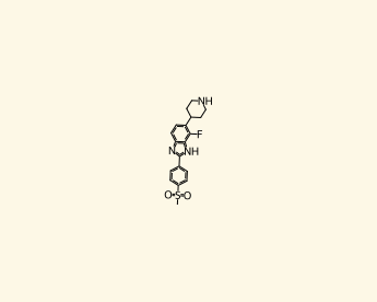 CS(=O)(=O)c1ccc(-c2nc3ccc(C4CCNCC4)c(F)c3[nH]2)cc1